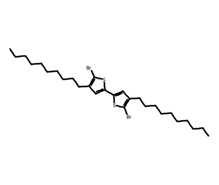 CCCCCCCCCCc1cc(-c2cc(CCCCCCCCCC)c(Br)s2)sc1Br